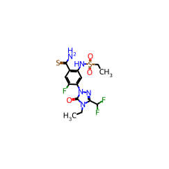 CCn1c(C(F)F)nn(-c2cc(NS(=O)(=O)CC)c(C(N)=S)cc2F)c1=O